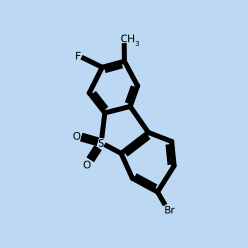 Cc1cc2c(cc1F)S(=O)(=O)c1cc(Br)ccc1-2